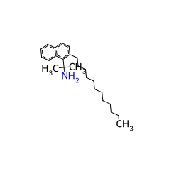 CCCCCCCCCCCCc1ccc2ccccc2c1C(C)(C)N